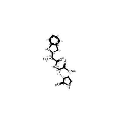 COC(=O)[C@H](C[C@@H]1CCNC1=O)NC(=O)[C@@H](C)[C@@H]1Cc2ccccc2O1